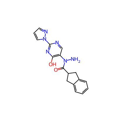 NN(C(=O)C1Cc2ccccc2C1)c1cnc(-n2cccn2)nc1O